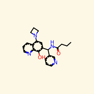 CCCC(=O)NC(c1cccnc1)c1cc(N2CCC2)c2cccnc2c1O